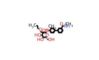 CCCOC[C@@]1(O)[C@@H](Oc2ccc(-c3cccc(C(=O)NC)c3)cc2C)O[C@H](CO)[C@@H](O)[C@@H]1O